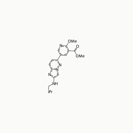 COC(=O)c1cc(-c2ccc3nc(NCC(C)C)cn3n2)cnc1OC